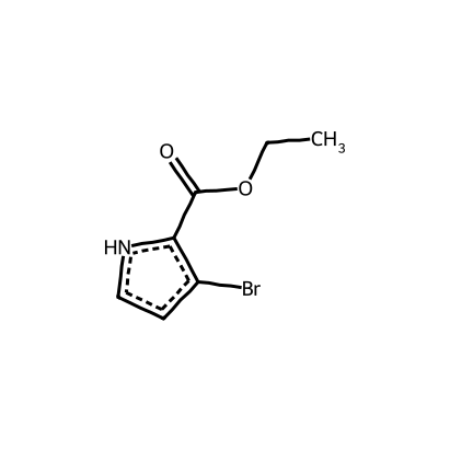 CCOC(=O)c1[nH]ccc1Br